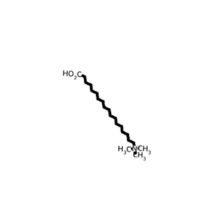 C[N+](C)(C)CCCCCCCCCCCCCCCCCC(=O)O